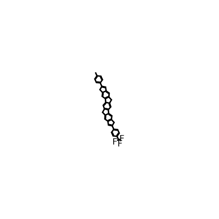 Cc1ccc(C2=Cc3cc4c(cc3C2)-c2cc3c(cc2C4)-c2cc4c(cc2C3)C=C(c2ccc(C(F)(F)F)cc2)C4)cc1